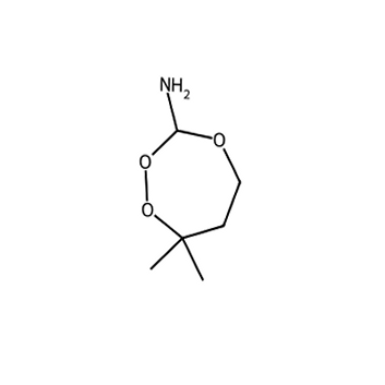 CC1(C)CCOC(N)OO1